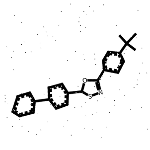 CC(C)(C)c1ccc(C2=NSC(c3ccc(-c4ccccc4)cc3)O2)cc1